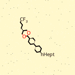 CCCCCCC[C@H]1CC[C@H]([C@H]2CC[C@H]([C@H]3OC[C@H](CCCC(F)(F)F)CO3)CC2)CC1